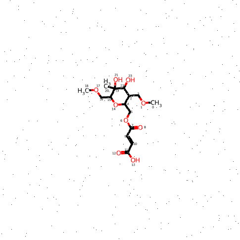 COCC1C(COC(=O)C=CC(=O)O)OC(COC)C(C)(O)C1O